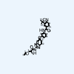 C=CO/C=C(\C)C(=O)Nc1nc2ccc(Oc3cccc(NC(=O)c4cccc(C(C)(C)C#N)c4)c3)cn2n1